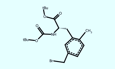 Cc1ccc(CBr)cc1C[C@H](NC(=O)OC(C)(C)C)C(=O)OC(C)(C)C